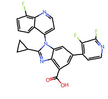 O=C(O)c1cc(-c2ccnc(F)c2F)cc2c1nc(C1CC1)n2-c1ccnc2c(F)cccc12